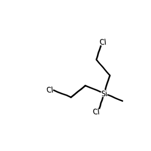 C[Si](Cl)(CCCl)CCCl